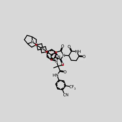 CC(C)(C(=O)Nc1ccc(C#N)c(C(F)(F)F)c1)n1cc(N2CC(N3CC4CCC(C3)N4C3CN(c4ccc5c(c4)C(=O)N(C4CCC(=O)NC4=O)C5=O)C3)C2)cn1